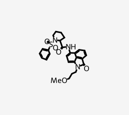 COCCCN1C(=O)c2cccc3c(NC(=O)C4CCCCN4S(=O)(=O)c4ccccc4)ccc1c23